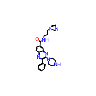 O=C(NCCCn1ccnc1)c1ccc2nc(-c3ccccc3)c(N3CCNCC3)nc2c1